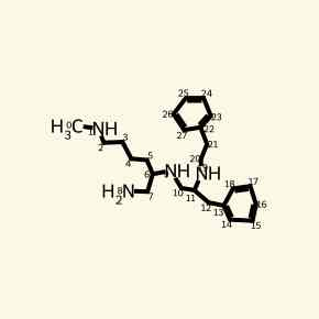 CNCCCCC(CN)NCC(Cc1ccccc1)NCCc1ccccc1